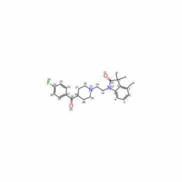 Cc1cccc2c1C(C)(C)C(=O)N2CCN1CCC(C(=O)c2ccc(F)cc2)CC1